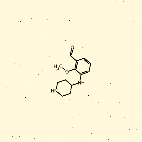 COc1c(C=O)cccc1NC1CCNCC1